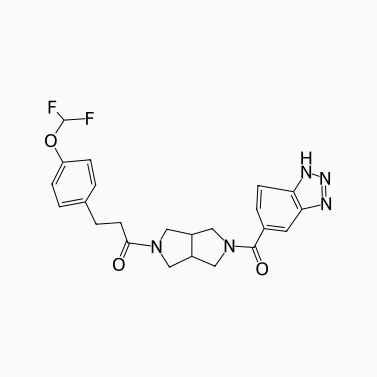 O=C(CCc1ccc(OC(F)F)cc1)N1CC2CN(C(=O)c3ccc4[nH]nnc4c3)CC2C1